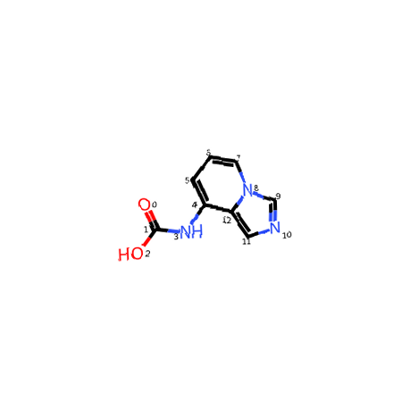 O=C(O)Nc1cccn2cncc12